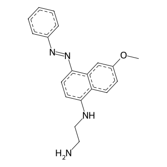 COc1ccc2c(NCCN)ccc(N=Nc3ccccc3)c2c1